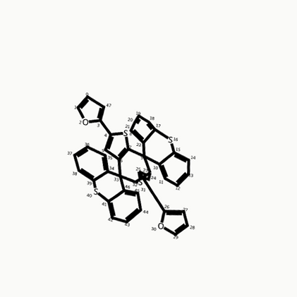 c1coc(-c2cc3c(s2)C2(c4ccccc4Sc4ccccc42)c2cc(-c4ccco4)sc2C32c3ccccc3Sc3ccccc32)c1